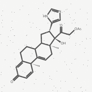 CC(=O)OCC(=O)[C@@]1(O)[C@H](c2cnc[nH]2)CC2C3CCC4=CC(=O)C=C[C@]4(C)C3=CC[C@@]21C